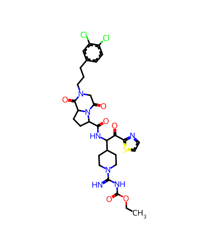 CCOC(=O)NC(=N)N1CCC(C(NC(=O)C2CCC3C(=O)N(CCCc4ccc(Cl)c(Cl)c4)CC(=O)N23)C(=O)c2nccs2)CC1